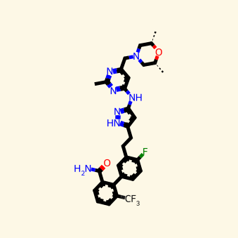 Cc1nc(CN2C[C@@H](C)O[C@@H](C)C2)cc(Nc2cc(CCc3cc(-c4c(C(N)=O)cccc4C(F)(F)F)ccc3F)[nH]n2)n1